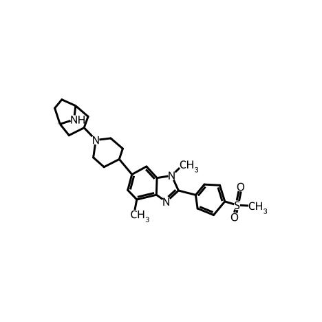 Cc1cc(C2CCN(C3CC4CCC(C3)N4)CC2)cc2c1nc(-c1ccc(S(C)(=O)=O)cc1)n2C